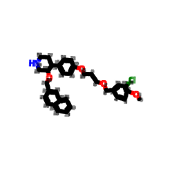 COc1ccc(COCCCOc2ccc(C3CCNCC3OCc3ccc4ccccc4c3)cc2)cc1Cl